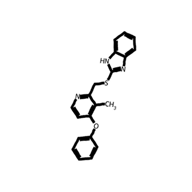 Cc1c(Oc2ccccc2)ccnc1CSc1nc2ccccc2[nH]1